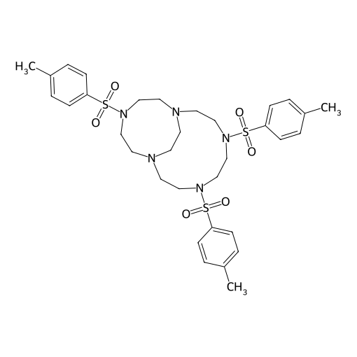 Cc1ccc(S(=O)(=O)N2CCN3CCN(CC2)CCN(S(=O)(=O)c2ccc(C)cc2)CCN(S(=O)(=O)c2ccc(C)cc2)CC3)cc1